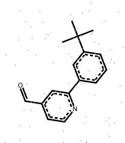 CC(C)(C)c1cccc(-c2cc(C=O)ccn2)c1